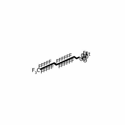 CCOP(=O)(OCC)OCCCC(F)(F)C(F)(F)C(F)(F)C(F)(F)C(F)(F)C(F)(F)/C=C/C(F)(F)C(F)(F)C(F)(F)C(F)(F)C(F)(F)C(F)(F)F